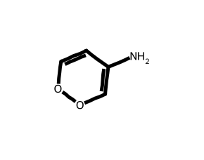 NC1=COOC=C1